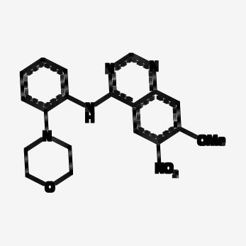 COc1cc2ncnc(Nc3ccccc3N3CCOCC3)c2cc1[N+](=O)[O-]